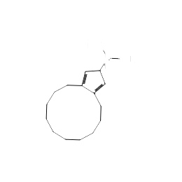 C[SiH](C)C1C=C2CCCCCCCCCCC2=C1